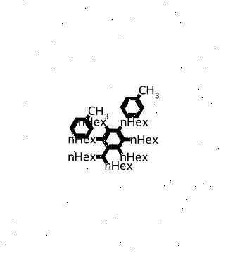 CCCCCCc1c(CCCCCC)c(CCCCCC)c(C(CCCCCC)CCCCCC)c(CCCCCC)c1CCCCCC.Cc1ccccc1.Cc1ccccc1